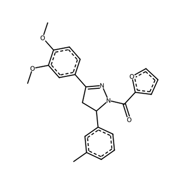 COc1ccc(C2=NN(C(=O)c3ccco3)C(c3cccc(C)c3)C2)cc1OC